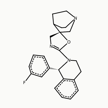 Fc1cccc([C@H]2c3ccccc3CCN2C2=NC[C@@]3(CN4CCC3CC4)O2)c1